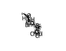 CC#CC(=O)NNC(=O)c1ccc(/C=C/C(c2cc(Cl)c(Cl)c(Cl)c2)C(F)(F)F)cc1Br